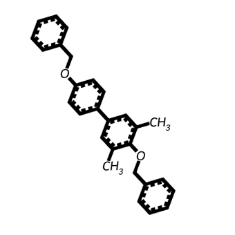 Cc1cc(-c2ccc(OCc3ccccc3)cc2)cc(C)c1OCc1ccccc1